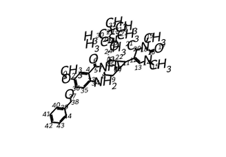 COc1cc(C(=O)N2CC[C@@H]3C(C4=CN(C)C(=O)N(C)C4C)C3[C@H]2CO[Si](C)(C)C(C)(C)C)c(N)cc1OCc1ccccc1